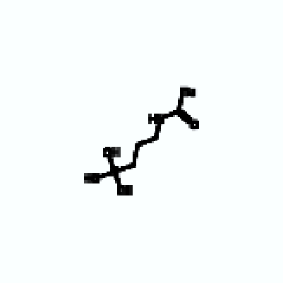 CCC(C)C(=O)NCCC[Si](O)(O)O